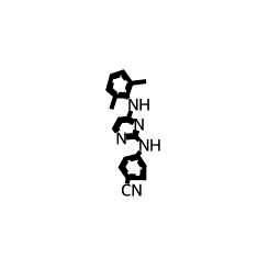 Cc1cccc(C)c1Nc1ccnc(Nc2ccc(C#N)cc2)n1